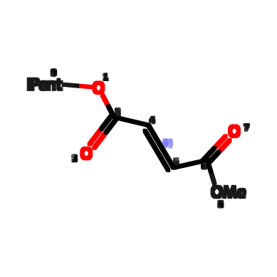 CCCC(C)OC(=O)/C=C/C(=O)OC